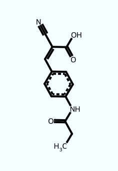 CCC(=O)Nc1ccc(C=C(C#N)C(=O)O)cc1